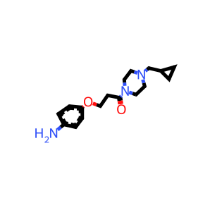 Nc1ccc(OCCC(=O)N2CCN(CC3CC3)CC2)cc1